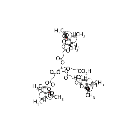 C[C@H]1[C@H](OC(=O)CCC(=O)OCC(COCCCC(=O)O)(COC(=O)CCC(=O)O[C@@H]2O[C@@H]3O[C@@]4(C)CC[C@H]5[C@H](C)CC[C@@H]([C@H]2C)[C@@]35OO4)COC(=O)CCC(=O)O[C@@H]2O[C@@H]3O[C@@]4(C)CC[C@H]5[C@H](C)CC[C@@](C)([C@H]2C)[C@@]35OO4)O[C@@H]2O[C@@]3(C)CC[C@H]4[C@H](C)CC[C@@H]1[C@@]24OO3